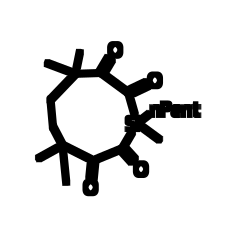 CCCCC[Si]1(C)C(=O)C(=O)C(C)(C)CCC(C)(C)C(=O)C1=O